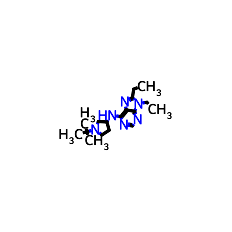 CCc1nc2c(N[C@H]3CCN(C(C)(C)C)C3)ncnc2n1CC